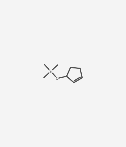 C[Si](C)(C)OC1C=CCC1